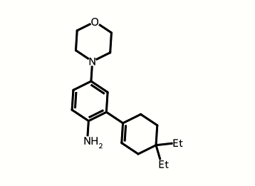 CCC1(CC)CC=C(c2cc(N3CCOCC3)ccc2N)CC1